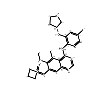 COc1c(N=S2(=O)CCC2)cc2ncnc(Nc3ccc(F)cc3O[C@@H]3CCOC3)c2c1C